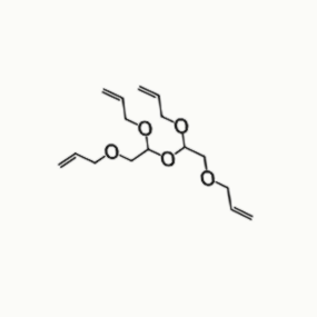 C=CCOCC(OCC=C)OC(COCC=C)OCC=C